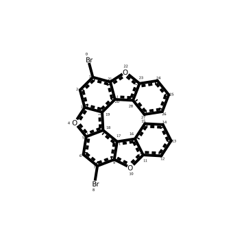 Brc1cc2oc3cc(Br)c4oc5ccccc5c4c3c2c2c1oc1ccccc12